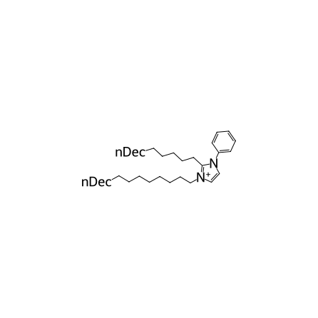 CCCCCCCCCCCCCCCCCC[n+]1ccn(-c2ccccc2)c1CCCCCCCCCCCCCCC